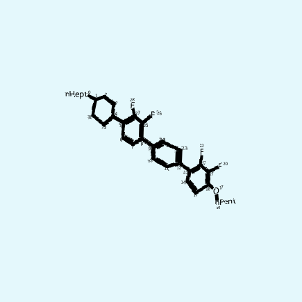 CCCCCCCC1CCC(c2ccc(-c3ccc(-c4ccc(OCCCCC)c(F)c4F)cc3)c(F)c2F)CC1